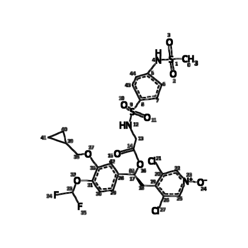 CS(=O)(=O)Nc1ccc(S(=O)(=O)NCC(=O)O[C@@H](Cc2c(Cl)c[n+]([O-])cc2Cl)c2ccc(OC(F)F)c(OCC3CC3)c2)cc1